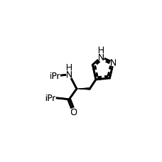 CC(C)N[C@@H](Cc1cn[nH]c1)C(=O)C(C)C